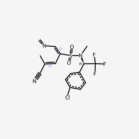 C=N/C=C(\C=C(/C)C#N)S(=O)(=O)N(C)[C@H](c1ccc(Cl)cc1)C(F)(F)F